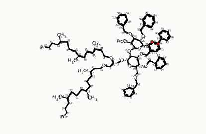 CC(=O)O[C@@H]1[C@H](O[C@@H]2[C@@H](OC[C@H](COCC[C@@H](C)CCC[C@@H](C)CCC[C@H](C)CCCC(C)C)OCC[C@@H](C)CCC[C@@H](C)CCC[C@H](C)CCCC(C)C)O[C@H](COCc3ccccc3)[C@@H](OCc3ccccc3)[C@@H]2OCc2ccccc2)O[C@H](COCc2ccccc2)[C@@H](OCc2ccccc2)[C@@H]1OCc1ccccc1